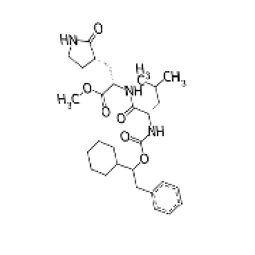 COC(=O)[C@H](C[C@@H]1CCNC1=O)NC(=O)[C@H](CC(C)C)NC(=O)OC(Cc1ccccc1)C1CCCCC1